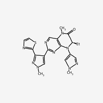 CC[C@@H]1C(=O)N(C)c2cnc(-c3cn(C)nc3-c3nccs3)nc2N1c1cnn(C)c1